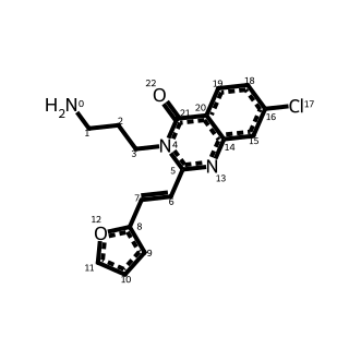 NCCCn1c(/C=C/c2ccco2)nc2cc(Cl)ccc2c1=O